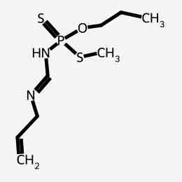 C=CCN=CNP(=S)(OCCC)SC